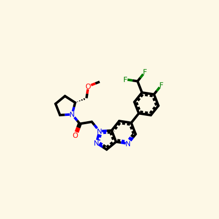 COC[C@H]1CCCN1C(=O)Cn1ncc2ncc(-c3ccc(F)c(C(F)F)c3)cc21